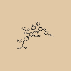 C=CC(=O)Nc1cc(Nc2cc(N3OCC[C@@H]3c3cc(F)cc(OC4=NC(C)C=C4)c3)ncn2)c(OC)cc1N1CCC(C(C)CCN(CCC)C2CC2)CC1